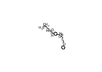 CN(C)CCCNC(=O)Nc1ccc(-c2nnc(CSCCOc3ccccc3)o2)cc1